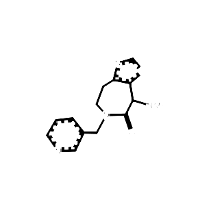 CNC1C(=O)N(Cc2cccnc2)CCc2ncoc21